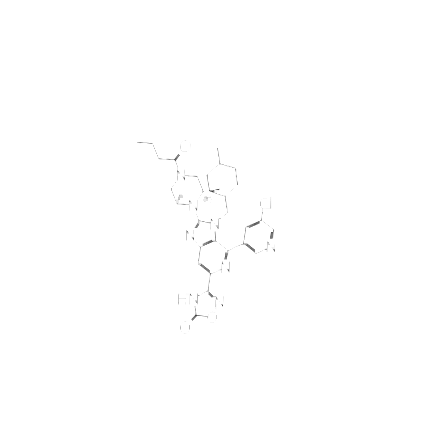 CCCC(=O)N1C[C@@H](C)N(c2nc3cc(-c4noc(=O)[nH]4)nc(-c4cncc(Cl)c4)c3n2CC2CCC(C)CC2)[C@H](C)C1